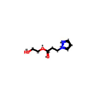 O=C(CCn1cccn1)OCCO